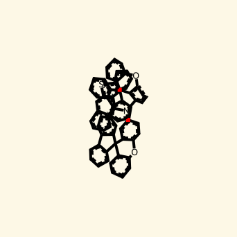 c1ccc2c(c1)Oc1ccc(N(c3cccc4c3C3(c5ccccc5O4)c4ccccc4-c4ccccc43)c3c4ccccc4cc4sc5ccccc5c34)cc1C21c2ccccc2-c2ccccc21